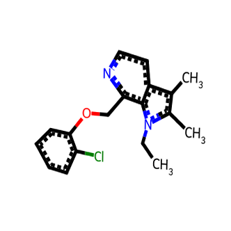 CCn1c(C)c(C)c2ccnc(COc3ccccc3Cl)c21